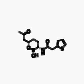 CC(=O)CC1CC[C@H](NC(=O)Cc2cccs2)B(O)O1